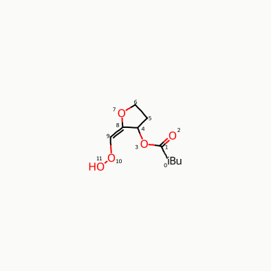 CCC(C)C(=O)OC1CCO/C1=C/OO